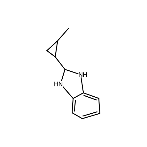 CC1CC1C1Nc2ccccc2N1